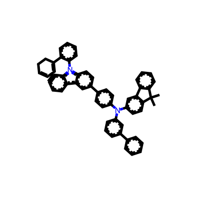 CC1(C)c2ccccc2-c2cc(N(c3ccc(-c4ccc5c(c4)c4ccc#cc4n5-c4ccccc4C4=CC=CCC4)cc3)c3cccc(-c4ccccc4)c3)ccc21